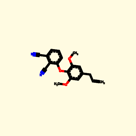 C=CCc1cc(OC)c(Oc2cccc(C#N)c2C#N)c(OC)c1